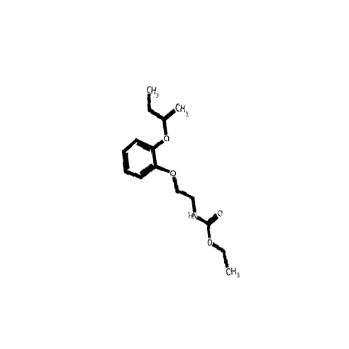 CCOC(=O)NCCOc1ccccc1OC(C)CC